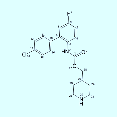 O=C(Nc1ccc(F)cc1-c1ccc(Cl)cc1)OCC1CCNCC1